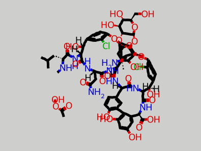 CC(=O)OO.CN[C@H](CC(C)C)C(=O)N[C@H]1C(=O)N[C@@H](CC(N)=O)C(=O)N[C@H]2C(=O)N[C@H]3C(=O)N[C@H](C(=O)N[C@@H](C(=O)O)c4cc(O)cc(O)c4-c4cc3ccc4O)[C@H](O)c3ccc(c(Cl)c3)Oc3cc2cc(c3O[C@@H]2O[C@H](CO)[C@@H](O)[C@H](O)[C@H]2O[C@H]2C[C@](C)(N)C(O)[C@H](C)O2)Oc2ccc(cc2Cl)[C@H]1O